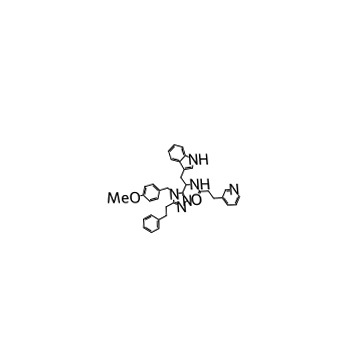 COc1ccc(Cn2c(CCc3ccccc3)nnc2C(Cc2c[nH]c3ccccc23)NC(=O)CCc2cccnc2)cc1